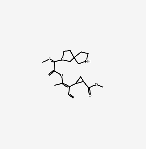 C=C/C(=C(\C)OC(=C)/C(=N\C)N1CCC2(CCNC2)C1)C1CC1C(=O)OC